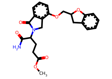 COC(=O)CCC(C(N)=O)N1Cc2c(OCC3Cc4ccccc4O3)cccc2C1=O